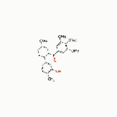 COc1cc(C(=O)C2CC(OC)CCC2c2ccc(C)c(O)c2)cc(OC)c1OC